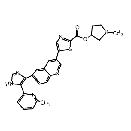 Cc1cccc(-c2[nH]cnc2-c2ccc3ncc(-c4cnc(C(=O)O[C@@H]5CCN(C)C5)s4)cc3c2)n1